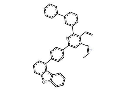 C=Cc1c(/N=C\C)cc(-c2ccc(-c3cccc4oc5ccccc5c34)cc2)nc1-c1cccc(-c2ccccc2)c1